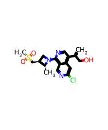 C=C(CO)c1cnc(N2C[C@H](CS(C)(=O)=O)[C@H]2C)c2cnc(Cl)cc12